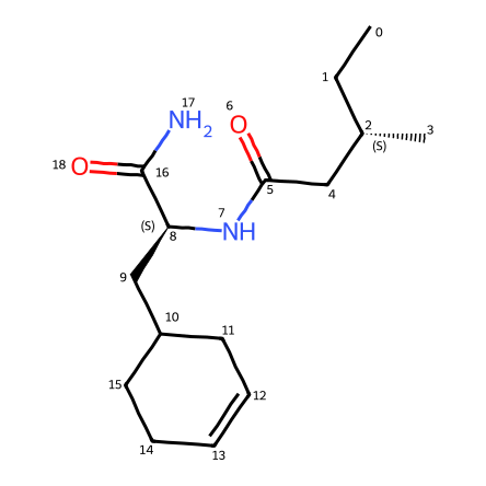 CC[C@H](C)CC(=O)N[C@@H](CC1CC=CCC1)C(N)=O